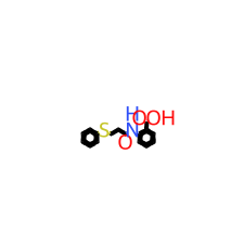 O=C(CCSc1ccccc1)Nc1ccccc1C(=O)O